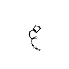 [N-]=[N+]=NC(=O)/C=C\c1ccco1